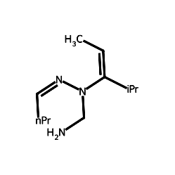 C/C=C(/C(C)C)N(CN)/N=C\CCC